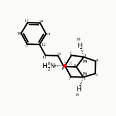 N[C@@H]1C[C@H]2CC[C@@H](C1)C2CCCc1ccccc1